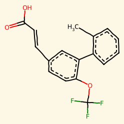 Cc1ccccc1-c1cc(C=CC(=O)O)ccc1OC(F)(F)F